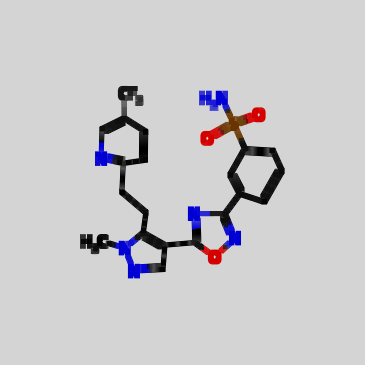 Cn1ncc(-c2nc(-c3cccc(S(N)(=O)=O)c3)no2)c1CCc1ccc(C(F)(F)F)cn1